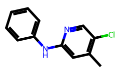 Cc1cc(Nc2ccccc2)ncc1Cl